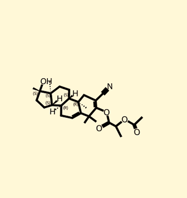 CC(=O)OC(C)C(=O)OC1=C(C#N)C[C@@]2(C)C(=CC[C@@H]3[C@@H]2CC[C@@]2(C)[C@H]3CC[C@]2(C)O)C1(C)C